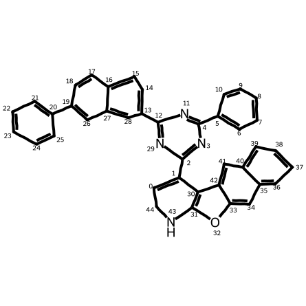 C1=C(c2nc(-c3ccccc3)nc(-c3ccc4ccc(-c5ccccc5)cc4c3)n2)c2c(oc3cc4ccccc4cc23)NC1